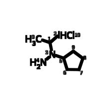 CC(I)N(N)C1CCCC1.Cl